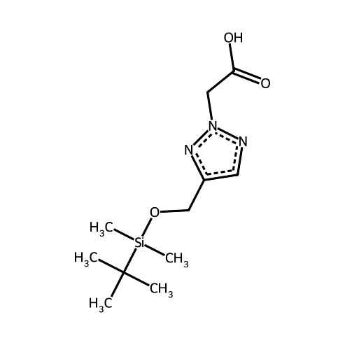 CC(C)(C)[Si](C)(C)OCc1cnn(CC(=O)O)n1